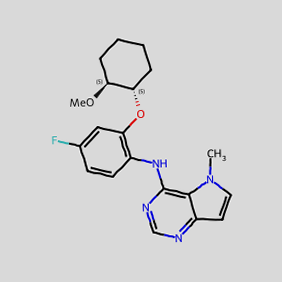 CO[C@H]1CCCC[C@@H]1Oc1cc(F)ccc1Nc1ncnc2ccn(C)c12